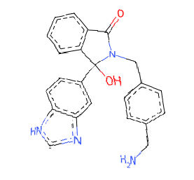 NCc1ccc(CN2C(=O)c3ccccc3C2(O)c2ccc3[nH][c]nc3c2)cc1